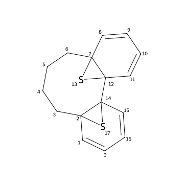 C1=CC23CCCCC45C=CC=CC4(S5)C2(C=C1)S3